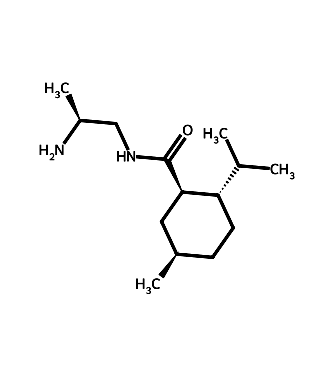 CC(C)[C@@H]1CC[C@@H](C)C[C@H]1C(=O)NC[C@H](C)N